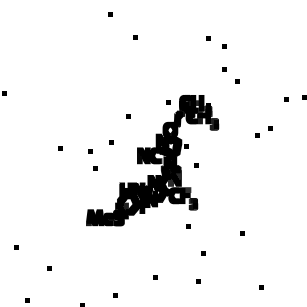 CSN1CCC(Nc2ncc(C(F)(F)F)c(-c3cn(-c4ccc(OCCN(C)C)nc4C#N)cn3)n2)C(F)C1